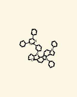 c1ccc(-c2cc(-c3ccccc3)nc(-c3cccc(-n4c5ccccc5c5ccc6c(c7ccc8c(ccn8-c8ccccc8)c7n6-c6ccccc6)c54)c3)n2)cc1